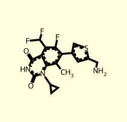 Cc1c(-c2csc(CN)c2)c(F)c(C(F)F)c2c(=O)[nH]c(=O)n(C3CC3)c12